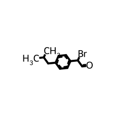 CC(C)Cc1ccc(C(Br)C=O)cc1